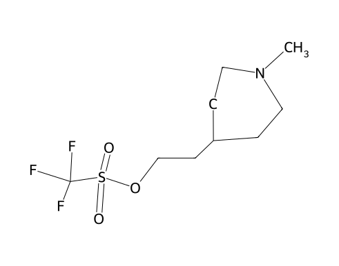 CN1CCC(CCOS(=O)(=O)C(F)(F)F)CC1